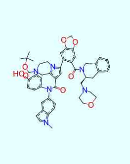 Cn1ccc2cc(N(C(=O)c3cc(-c4cc5c(cc4C(=O)N4Cc6ccccc6C[C@H]4CN4CCOCC4)OCO5)n4c3CN(C(=O)OC(C)(C)C)CC4)c3ccc(O)cc3)ccc21